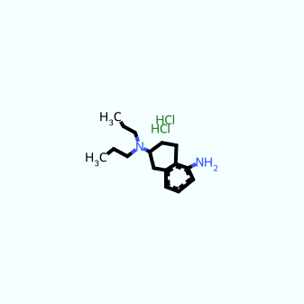 CCCN(CCC)C1CCc2c(N)cccc2C1.Cl.Cl